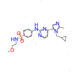 COCCNS(=O)(=O)c1ccc(Nc2nccc(-c3cnc(C)n3CC3CC3)n2)cc1